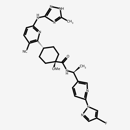 CO[C@]1(C(=O)N[C@@H](C)c2ccc(-n3cc(F)cn3)nc2)CC[C@@H](c2nc(Nc3n[nH]c(C)n3)ccc2C#N)CC1